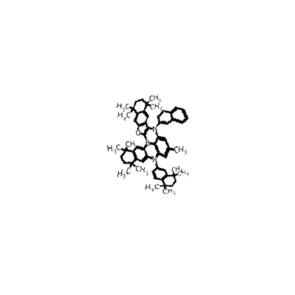 Cc1cc2c3c(c1)N(c1ccc4ccccc4c1)c1c(oc4cc5c(cc14)C(C)(C)CCC5(C)C)B3c1cc3c(cc1N2c1ccc2c(c1)C(C)(C)CCC2(C)C)C(C)(C)CCC3(C)C